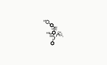 CN(C)CC[C@H](CSc1ccccc1)Nc1ccc(S(=O)(=O)Nc2ccc(N3CCNCC3)cc2)cc1NO